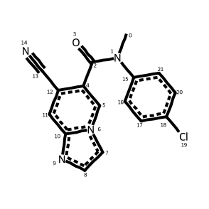 CN(C(=O)c1cn2ccnc2cc1C#N)c1ccc(Cl)cc1